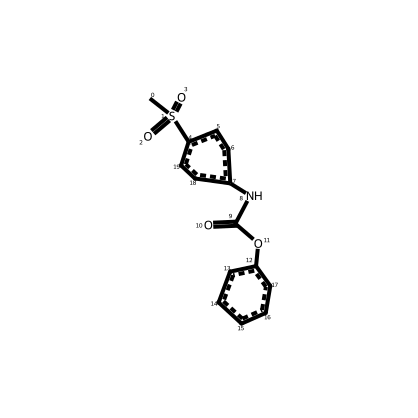 CS(=O)(=O)c1ccc(NC(=O)Oc2ccccc2)cc1